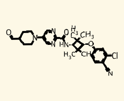 CC1(C)[C@H](NC(=O)c2ncc(N3CCC(C=O)CC3)cn2)C(C)(C)[C@H]1Oc1ccc(C#N)c(Cl)c1